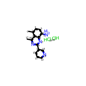 Cc1ccc(N)c2nc(-c3cccnc3)nc(C)c12.Cl.Cl